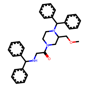 COCC1CN(C(=O)CNC(c2ccccc2)c2ccccc2)CCN1C(c1ccccc1)c1ccccc1